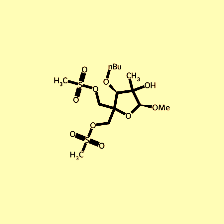 CCCCO[C@@H]1C(COS(C)(=O)=O)(COS(C)(=O)=O)O[C@H](OC)C1(C)O